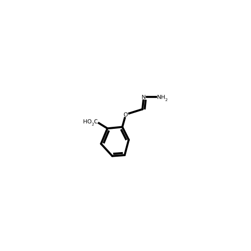 NN=COc1ccccc1C(=O)O